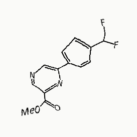 COC(=O)c1cncc(-c2ccc(C(F)F)cc2)n1